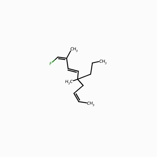 C/C=C\CC(C)(/C=C/C(C)=C\F)CCC